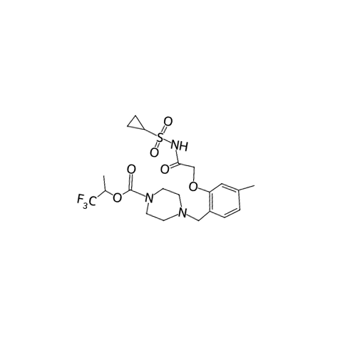 Cc1ccc(CN2CCN(C(=O)OC(C)C(F)(F)F)CC2)c(OCC(=O)NS(=O)(=O)C2CC2)c1